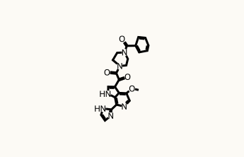 COc1cnc(-c2ncc[nH]2)c2[nH]cc(C(=O)C(=O)N3CCN(C(=O)c4ccccc4)CC3)c12